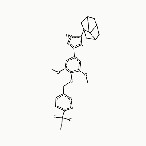 COc1cc(-c2c[nH]c(C34CC5CC(CC(C5)C3)C4)n2)cc(OC)c1OCc1ccc(C(F)(F)F)cn1